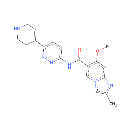 CCOc1cc2nc(C)cn2cc1C(=O)Nc1ccc(C2=CCNCC2)nn1